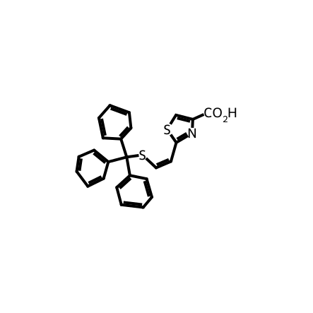 O=C(O)c1csc(/C=C\SC(c2ccccc2)(c2ccccc2)c2ccccc2)n1